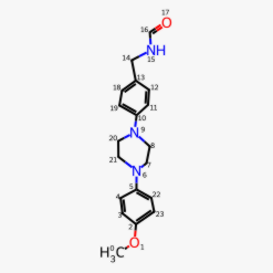 COc1ccc(N2CCN(c3ccc(CNC=O)cc3)CC2)cc1